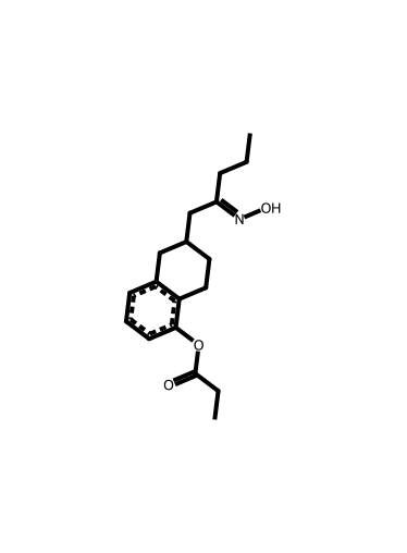 CCCC(CC1CCc2c(cccc2OC(=O)CC)C1)=NO